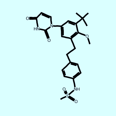 COc1c(CCc2ccc(NS(C)(=O)=O)cc2)cc(-n2ccc(=O)[nH]c2=O)cc1C(C)(C)C